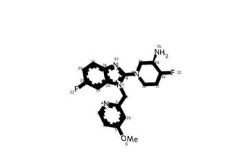 COc1ccnc(Cn2c(N3CCC(F)[C@H](N)C3)nc3ccc(F)cc32)c1